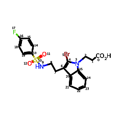 O=C(O)CCn1c(Br)c(CCNS(=O)(=O)c2ccc(F)cc2)c2ccccc21